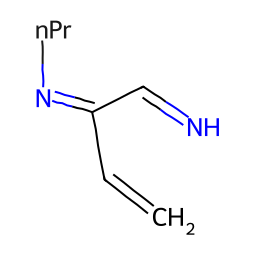 C=C/C(C=N)=N/CCC